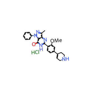 COc1cc(C2=CCNCC2)ccc1-c1nc2c(C)nn(-c3ccccc3)c2c(=O)[nH]1.Cl